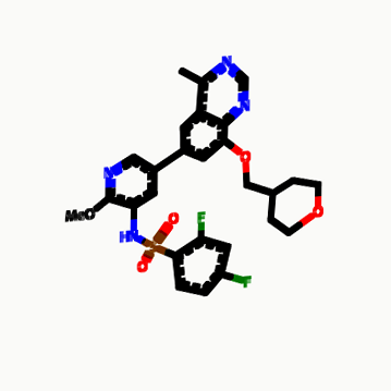 COc1ncc(-c2cc(OCC3CCOCC3)c3ncnc(C)c3c2)cc1NS(=O)(=O)c1ccc(F)cc1F